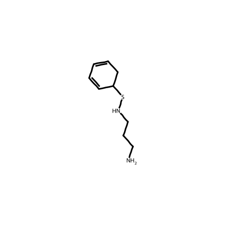 NCCCNSC1C=CC=CC1